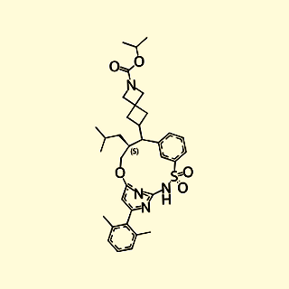 Cc1cccc(C)c1-c1cc2nc(n1)NS(=O)(=O)c1cccc(c1)C(C1CC3(C1)CN(C(=O)OC(C)C)C3)[C@H](CC(C)C)CO2